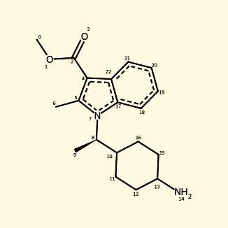 COC(=O)c1c(C)n([C@H](C)C2CCC(N)CC2)c2ccccc12